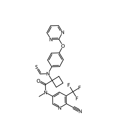 CN(C(=O)C1(N(C=S)c2ccc(Oc3ncccn3)cc2)CCC1)c1cnc(C#N)c(C(F)(F)F)c1